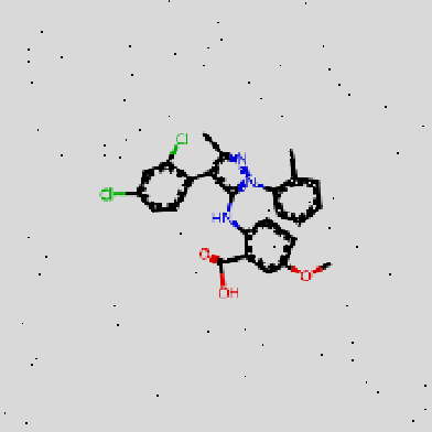 COc1ccc(Nc2c(-c3ccc(Cl)cc3Cl)c(C)nn2-c2ccccc2C)c(C(=O)O)c1